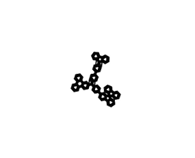 c1ccc2c(c1)-c1ccccc1C21c2ccccc2-c2ccc(-c3ccc(N(c4ccc(-c5ccc(-n6c7ccccc7c7ccccc76)cc5)cc4)c4ccc5c6ccccc6c6ccccc6c5c4)cc3)cc21